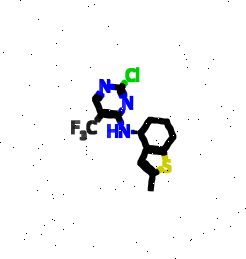 Cc1cc2c(s1)CCC[C@H]2Nc1nc(Cl)ncc1C(F)(F)F